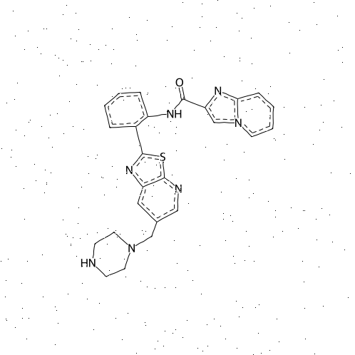 O=C(Nc1ccccc1-c1nc2cc(CN3CCNCC3)cnc2s1)c1cn2ccccc2n1